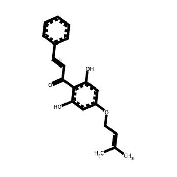 CC(C)=CCOc1cc(O)c(C(=O)/C=C/c2ccccc2)c(O)c1